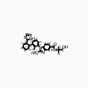 CCCCc1nc2cc(C(=O)NC(C)(C)CO)ccc2n1-c1cccc(-c2ccccc2-c2nnn[nH]2)c1C